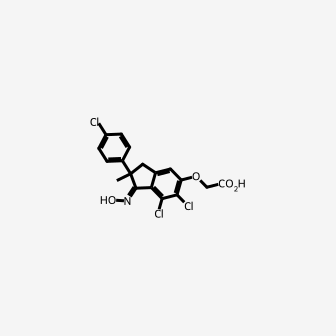 CC1(c2ccc(Cl)cc2)Cc2cc(OCC(=O)O)c(Cl)c(Cl)c2C1=NO